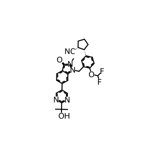 Cn1c(=O)c2ccc(-c3cnc(C(C)(C)O)nc3)cc2n1Cc1cc([C@H]2CCC[C@H]2C#N)ccc1OC(F)F